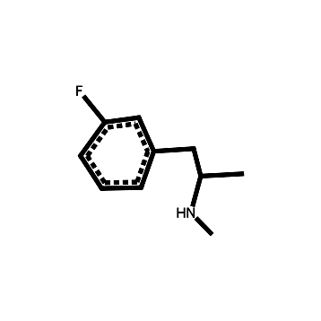 CNC(C)Cc1cccc(F)c1